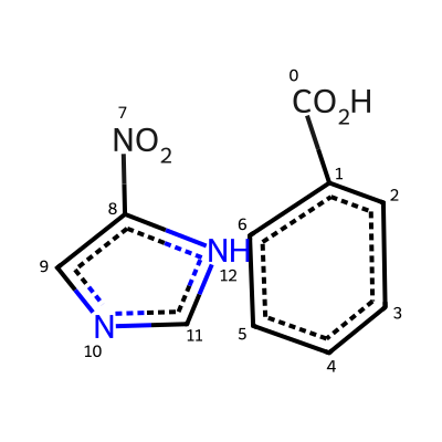 O=C(O)c1ccccc1.O=[N+]([O-])c1cnc[nH]1